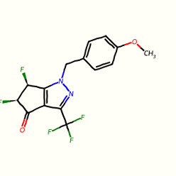 COc1ccc(Cn2nc(C(F)(F)F)c3c2[C@H](F)[C@H](F)C3=O)cc1